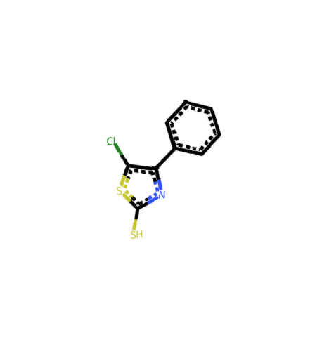 Sc1nc(-c2ccccc2)c(Cl)s1